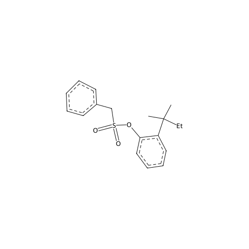 CCC(C)(C)c1ccccc1OS(=O)(=O)Cc1ccccc1